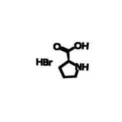 Br.O=C(O)[C@@H]1CCCN1